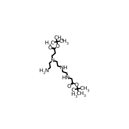 CC(C)(C)OC(=O)CCN(CCN)CCNCCNCC(=O)OC(C)(C)C